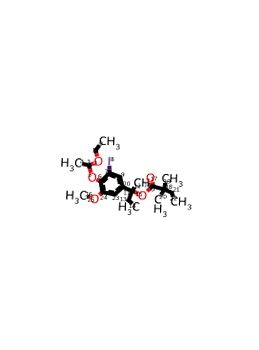 CCOC(C)Oc1c(I)cc(C(C)(CC)OC(=O)C(C)(C)CC)cc1OC